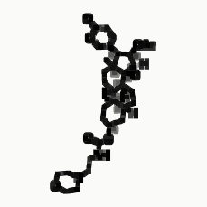 CC(=O)O[C@H]1[C@H]2O[C@]23[C@@H]2CC[C@@H]4C[C@@H](OC(=O)NCCN5CCOCC5)CC[C@]4(C)[C@H]2CC[C@]3(C)[C@H]1c1ccc(=O)oc1